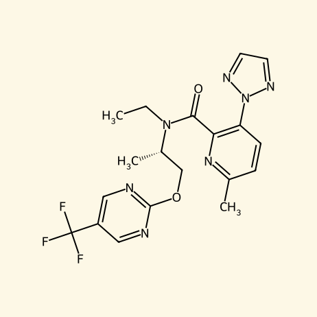 CCN(C(=O)c1nc(C)ccc1-n1nccn1)[C@@H](C)COc1ncc(C(F)(F)F)cn1